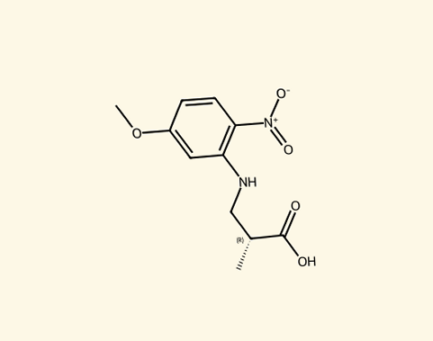 COc1ccc([N+](=O)[O-])c(NC[C@@H](C)C(=O)O)c1